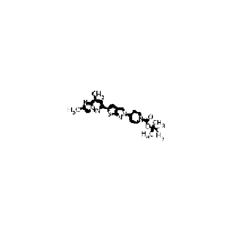 Cc1cn2nc(-c3cc4cn(C5CCN(C(=O)OC(C)(C)C)CC5)nc4s3)cc(C)c2n1